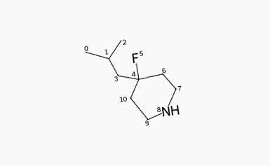 CC(C)CC1(F)CCNCC1